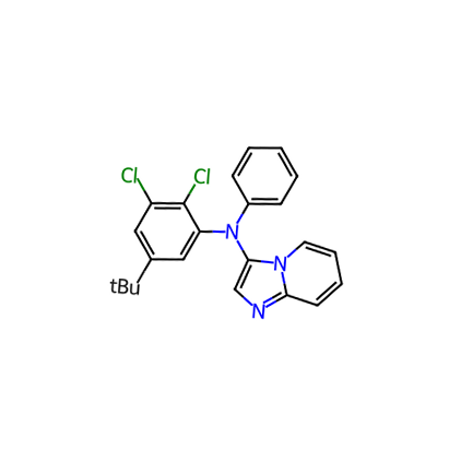 CC(C)(C)c1cc(Cl)c(Cl)c(N(c2ccccc2)c2cnc3ccccn23)c1